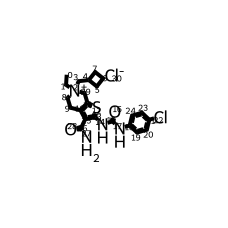 CC[N+]1(CC2CCC2)CCc2c(sc(NC(=O)Nc3ccc(Cl)cc3)c2C(N)=O)C1.[Cl-]